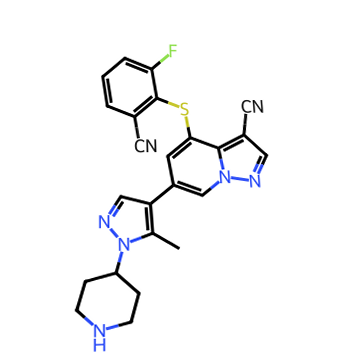 Cc1c(-c2cc(Sc3c(F)cccc3C#N)c3c(C#N)cnn3c2)cnn1C1CCNCC1